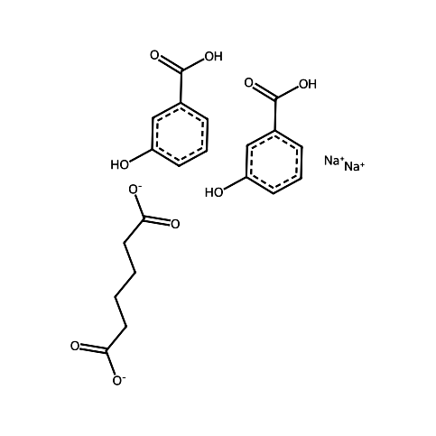 O=C(O)c1cccc(O)c1.O=C(O)c1cccc(O)c1.O=C([O-])CCCCC(=O)[O-].[Na+].[Na+]